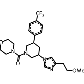 COCCc1cn(C2CC(c3ccc(C(F)(F)F)cc3)CN(C(=O)N3CCOCC3)C2)cn1